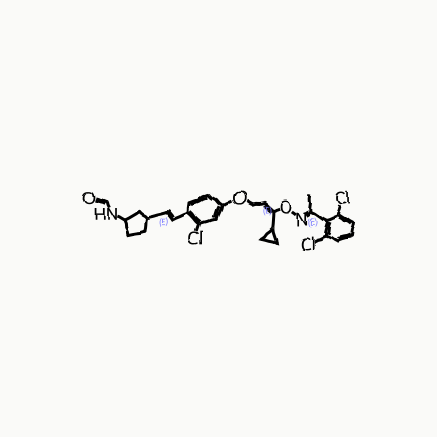 C/C(=N\O/C(=C/COc1ccc(/C=C/C2CCC(NC=O)C2)c(Cl)c1)C1CC1)c1c(Cl)cccc1Cl